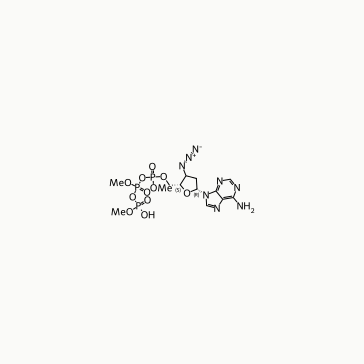 COP(=O)(O)OP(=O)(OC)OP(=O)(OC)OC[C@H]1O[C@@H](n2cnc3c(N)ncnc32)CC1N=[N+]=[N-]